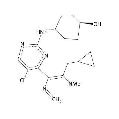 C=N/C(=C(/CC1CC1)NC)c1nc(N[C@H]2CC[C@H](O)CC2)ncc1Cl